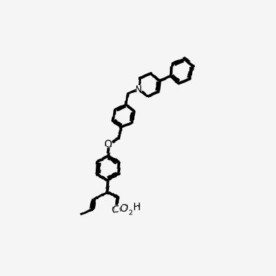 CC=CC(CC(=O)O)c1ccc(OCc2ccc(CN3CC=C(c4ccccc4)CC3)cc2)cc1